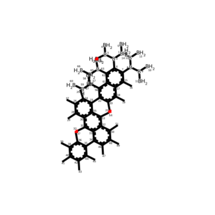 BBB(B(B)B)c1c(B(B(B)B)B(B)B)c(C)c2c(C)c(C)c(-c3c(C)c(C)c(C)c4c(C)c5c(-c6c(C)c(C)c(C)c(C)c6C)c(C)c(C)c(C)c5c(C)c34)c(B(B)BB)c2c1B(B)B(B)B